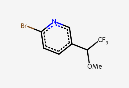 COC(c1ccc(Br)nc1)C(F)(F)F